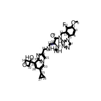 COc1ccc(-n2cnnn2)c(CNC(=O)/C(=C/NCc2cn3cc(C4CC4)cc(C4(O)COC4)c3n2)N=N)c1F